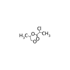 CC(C[O])OC(=O)C(C)Cl